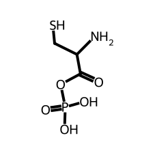 NC(CS)C(=O)OP(=O)(O)O